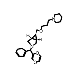 C1=CCCC(C(C2=COC=CO2)N2C[C@@H]3[C@@H](COCCCN4CCCCC4)[C@@H]3C2)=C1